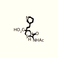 CC(=O)NC1C(=O)N2CC(C=Cc3cccnc3)(C(=O)O)CS[C@H]12